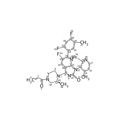 C=CC(=O)N1CCN(c2nc(=O)n(-c3c(C)ccnc3C(C)C)c3nc(-c4cc(C)c(F)cc4F)c(F)cc23)[C@@H](C)C1